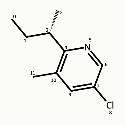 CC[C@H](C)c1ncc(Cl)cc1C